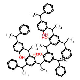 CC(c1ccccc1)c1ccc(O)c(C(C)c2cc(C(C)c3ccccc3)cc(C(C)c3cc(C(C)c4ccccc4)cc(C(C)c4cc(C(C)c5ccccc5)cc(C(C)c5cc(C(C)c6ccccc6)ccc5O)c4O)c3O)c2O)c1